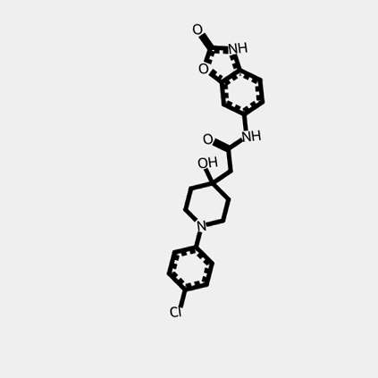 O=C(CC1(O)CCN(c2ccc(Cl)cc2)CC1)Nc1ccc2[nH]c(=O)oc2c1